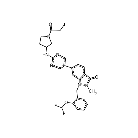 Cn1c(=O)c2ccc(-c3cnc(NC4CCN(C(=O)CI)C4)nc3)cc2n1Cc1ccccc1OC(F)F